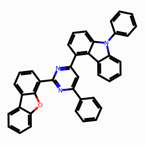 c1ccc(-c2cc(-c3cccc4c3c3ccccc3n4-c3ccccc3)nc(-c3cccc4c3oc3ccccc34)n2)cc1